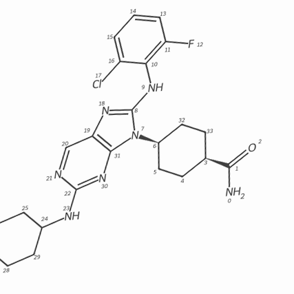 NC(=O)[C@H]1CC[C@@H](n2c(Nc3c(F)cccc3Cl)nc3cnc(NC4CCOCC4)nc32)CC1